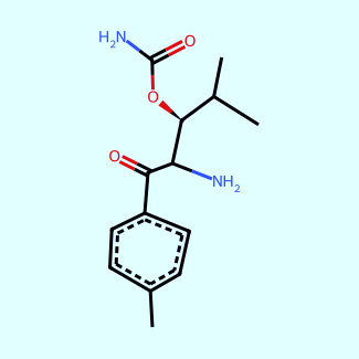 Cc1ccc(C(=O)C(N)[C@@H](OC(N)=O)C(C)C)cc1